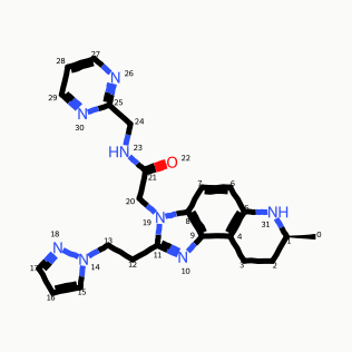 C[C@H]1CCc2c(ccc3c2nc(CCn2cccn2)n3CC(=O)NCc2ncccn2)N1